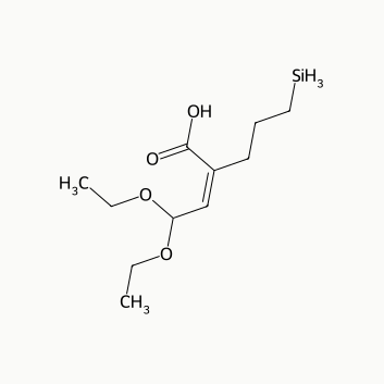 CCOC(C=C(CCC[SiH3])C(=O)O)OCC